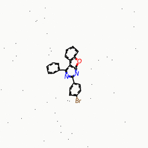 Brc1ccc(-c2nc(-c3ccccc3)c3c(n2)oc2ccccc23)cc1